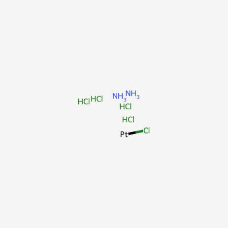 Cl.Cl.Cl.Cl.N.N.[Cl][Pt]